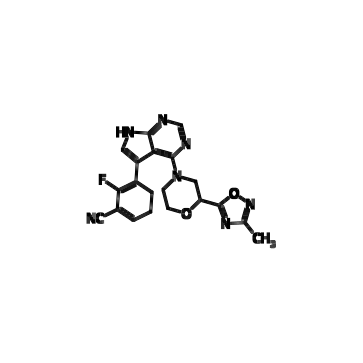 Cc1noc(C2CN(c3ncnc4[nH]cc(C5=C(F)C(C#N)=CCC5)c34)CCO2)n1